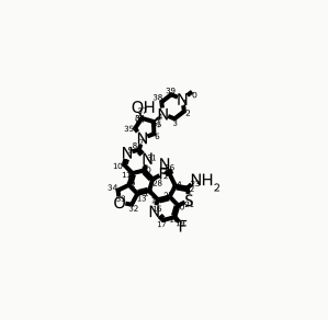 CN1CCN([C@H]2CN(c3ncc4c5c(c(-c6ncc(F)c7sc(N)c(C#N)c67)c(F)c4n3)COC5)C[C@@H]2O)CC1